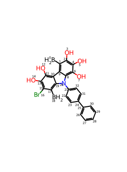 Bc1c(O)c(O)c(O)c2c1c1c(O)c(O)c(Br)c(B)c1n2-c1ccc(-c2ccccc2)cc1